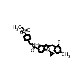 CCS(=O)(=O)c1ccc(CNC(=O)c2ccc3c(c2)cc(Cc2ccc(C)cc2F)n3C2CC2)cc1